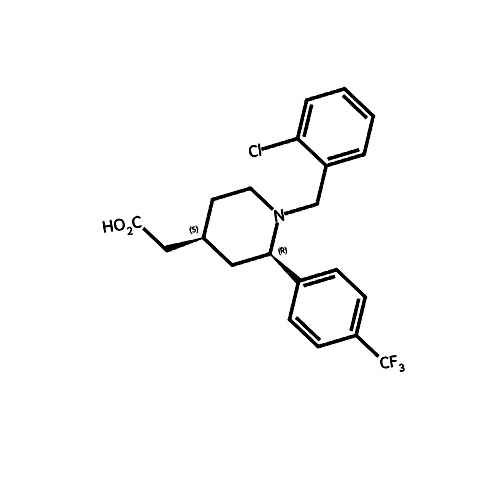 O=C(O)C[C@H]1CCN(Cc2ccccc2Cl)[C@@H](c2ccc(C(F)(F)F)cc2)C1